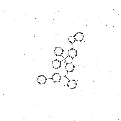 c1ccc(-c2ccc(N(c3ccccc3)c3ccc4c(c3)C(c3ccccc3)(c3ccccc3)c3cc(-n5ccc6ccccc65)ccc3-4)cc2)cc1